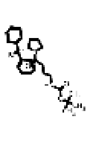 CC(C)(C)OC(=O)NCCCC(=O)N1CCC[C@H]1C(O)(c1ccccc1)c1ccccc1